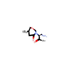 CC(C)(C)C(=O)[C@H](CN)N1COCC(C(C)(C)C)CC1=O